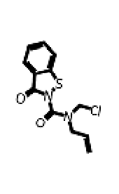 C=CCN(CCl)C(=O)n1sc2ccccc2c1=O